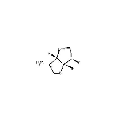 N[C@H]1CO[C@@H]2[C@H]1OC[C@H]2O